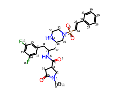 CCCCN1CC(C(=O)NC(Cc2cc(F)cc(F)c2)C[C@H]2CN(S(=O)(=O)/C=C/c3ccccc3)CCN2)CC1=O